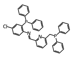 Clc1ccc(/N=C/c2cccc(CP(c3ccccc3)c3ccccc3)n2)c(P(c2ccccc2)c2ccccc2)c1